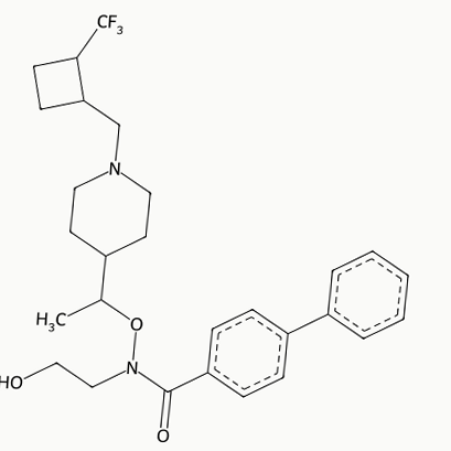 CC(ON(CCO)C(=O)c1ccc(-c2ccccc2)cc1)C1CCN(CC2CCC2C(F)(F)F)CC1